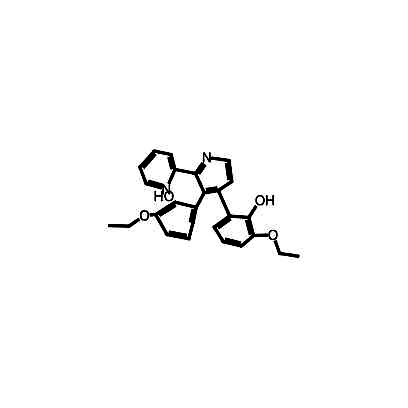 CCOc1cccc(-c2ccnc(-c3ccccn3)c2-c2cccc(OCC)c2O)c1O